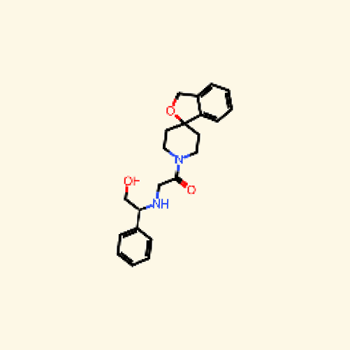 O=C(CNC(CO)c1ccccc1)N1CCC2(CC1)OCc1ccccc12